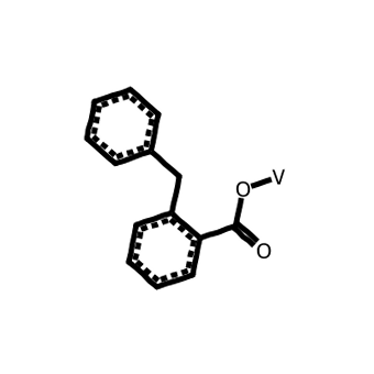 O=C([O][V])c1ccccc1Cc1ccccc1